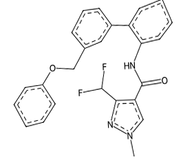 Cn1cc(C(=O)Nc2ccccc2-c2cccc(COc3ccccc3)c2)c(C(F)F)n1